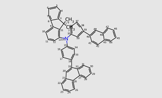 CC1(C)c2ccccc2-c2cccc(N(c3ccc(-c4cc5ccccc5c5ccccc45)cc3)c3cccc(-c4ccc5ccccc5c4)c3)c21